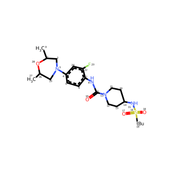 CC1CN(c2ccc(NC(=O)N3CCC(NS(=O)(=O)C(C)(C)C)CC3)c(F)c2)CC(C)O1